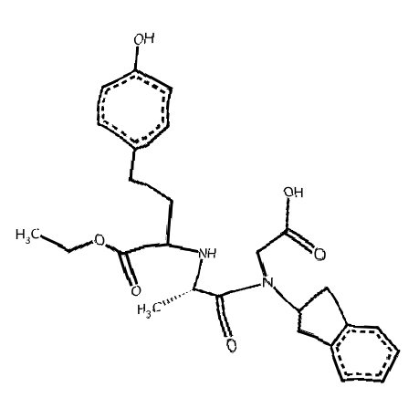 CCOC(=O)C(CCc1ccc(O)cc1)N[C@@H](C)C(=O)N(CC(=O)O)C1Cc2ccccc2C1